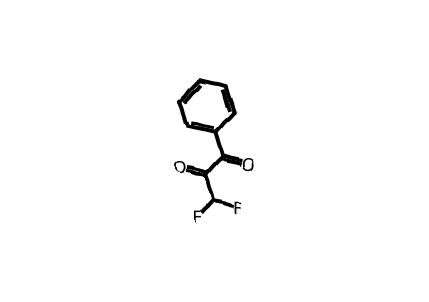 O=C(C(=O)C(F)F)c1ccccc1